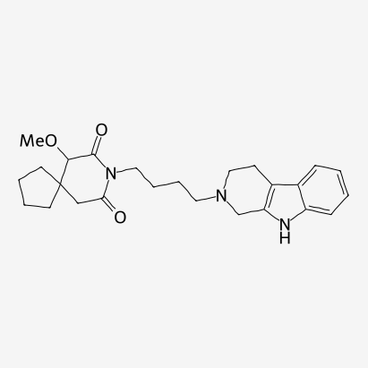 COC1C(=O)N(CCCCN2CCc3c([nH]c4ccccc34)C2)C(=O)CC12CCCC2